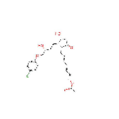 CC(=O)O/C=C/C=C/CCC[C@H]1C(=O)C[C@@H](O)[C@@H]1CC[C@@H](O)COc1ccc(Cl)cc1